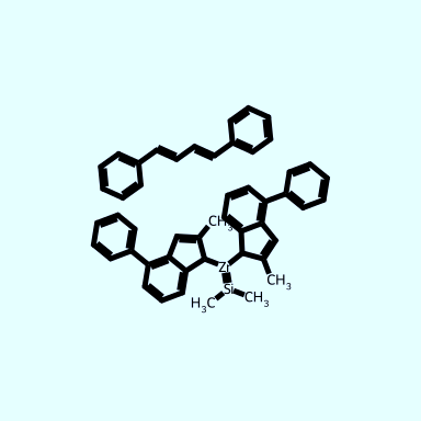 C(C=Cc1ccccc1)=Cc1ccccc1.CC1=Cc2c(-c3ccccc3)cccc2[CH]1[Zr]([CH]1C(C)=Cc2c(-c3ccccc3)cccc21)=[Si](C)C